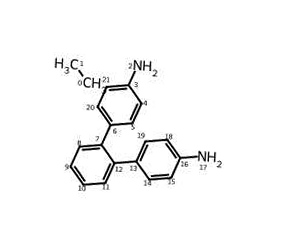 CC.Nc1ccc(-c2ccccc2-c2ccc(N)cc2)cc1